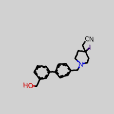 N#CCC1(I)CCN(Cc2ccc(-c3cccc(CO)c3)cc2)CC1